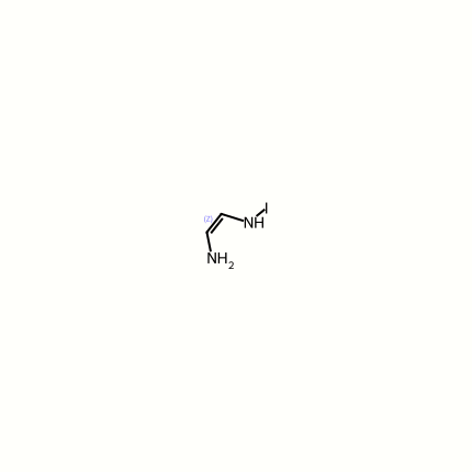 N/C=C\NI